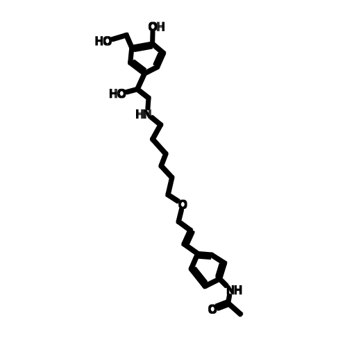 CC(=O)Nc1ccc(C=CCOCCCCCCNCC(O)c2ccc(O)c(CO)c2)cc1